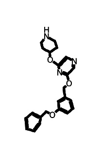 c1ccc(COc2cccc(COc3cncc(OC4CCNCC4)n3)c2)cc1